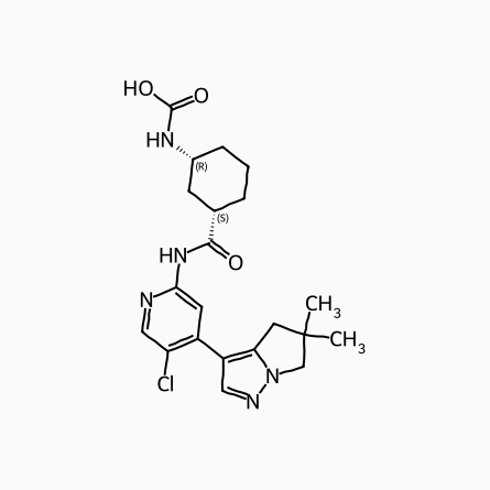 CC1(C)Cc2c(-c3cc(NC(=O)[C@H]4CCC[C@@H](NC(=O)O)C4)ncc3Cl)cnn2C1